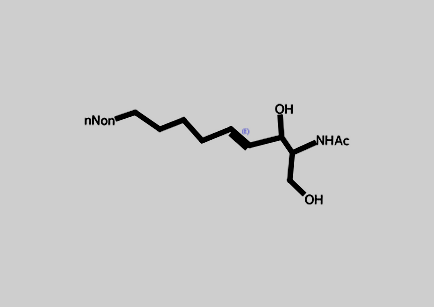 CCCCCCCCCCCCC/C=C/C(O)C(CO)NC(C)=O